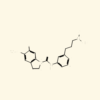 COc1cc2c(cc1C(F)(F)F)N(C(=O)Nc1cccc(CCCN(C)C)c1)CC2